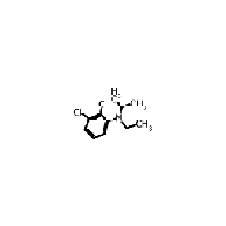 CCN(c1cccc(Cl)c1Cl)C(C)C